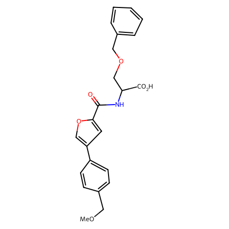 COCc1ccc(-c2coc(C(=O)NC(COCc3ccccc3)C(=O)O)c2)cc1